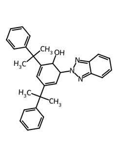 CC(C)(C1=CC(n2nc3ccccc3n2)C(O)C(C(C)(C)c2ccccc2)=C1)c1ccccc1